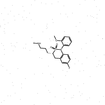 CNCCC[C@H]1Cc2cc(F)ccc2N(c2ccccc2OC)S1(=O)=O